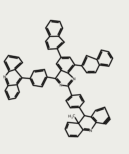 CC12C=CC=CC1=Nc1c#cccc1C2c1ccc(-c2nc(-c3ccc(-c4c5ccccc5nc5ccccc45)cc3)c3cc(-c4ccc5ccccc5c4)cc(-c4ccc5ccccc5c4)c3n2)cc1